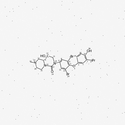 CC(C)c1cc(Oc2c(Br)cc(N(CC(=O)O)C(=O)N3CCN(C)CC3)cc2Br)ccc1O